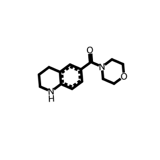 O=C(c1ccc2c(c1)CCCN2)N1CCOCC1